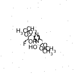 CC1(C)O[C@H]([C@H](O)CF)[C@@H](c2cnc(C[C@@H]3OC(C)(C)O[C@@H]3CO)cn2)O1